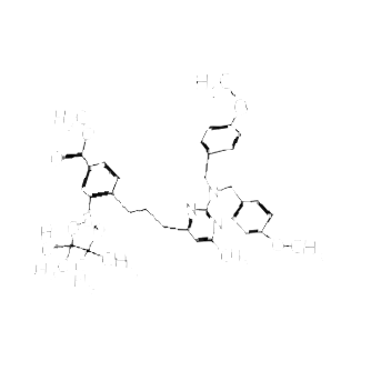 COC(=O)c1ccc(CCCc2cc(C)nc(N(Cc3ccc(OC)cc3)Cc3ccc(OC)cc3)n2)c(B2OC(C)(C)C(C)(C)O2)c1